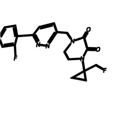 O=C1C(=O)N(C2(CF)CC2)CCN1Cc1ccc(-c2ccccc2F)nn1